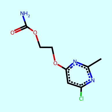 Cc1nc(Cl)cc(OCCOC(N)=O)n1